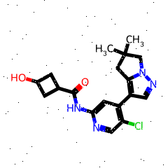 CC1(C)Cc2c(-c3cc(NC(=O)C4CC(O)C4)ncc3Cl)cnn2C1